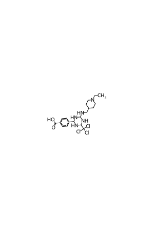 CCN1CCC(CNC2NC(c3ccc(C(=O)O)cc3)NC(C(Cl)(Cl)Cl)N2)CC1